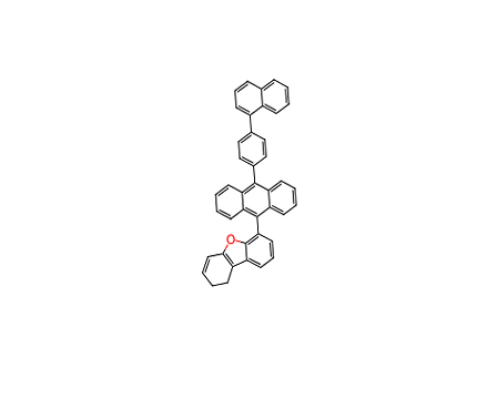 C1=Cc2oc3c(-c4c5ccccc5c(-c5ccc(-c6cccc7ccccc67)cc5)c5ccccc45)cccc3c2CC1